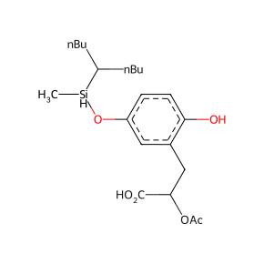 CCCCC(CCCC)[SiH](C)Oc1ccc(O)c(CC(OC(C)=O)C(=O)O)c1